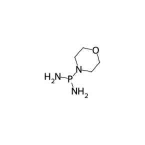 NP(N)N1CCOCC1